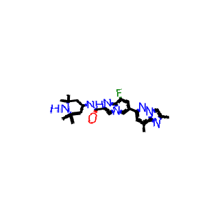 Cc1cn2nc(-c3cc(F)c4nc(C(=O)NC5CC(C)(C)NC(C)(C)C5)cn4c3)cc(C)c2n1